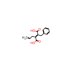 C=CC/C(C(=O)O)=C(/Cc1ccccc1)C(=O)O